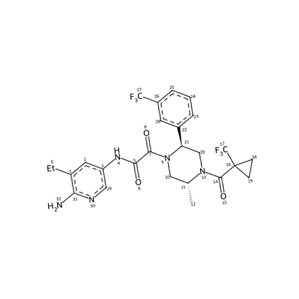 CCc1cc(NC(=O)C(=O)N2C[C@@H](C)N(C(=O)C3(C(F)(F)F)CC3)C[C@@H]2c2cccc(C(F)(F)F)c2)cnc1N